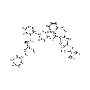 CC(C)(C)OC(=O)NC1CCc2ccccc2N(Cc2ccc(-c3ccccc3CNC(=O)OCc3ccccc3)cc2)C1=O